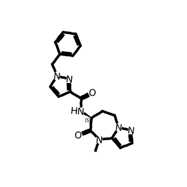 CN1C(=O)[C@@H](NC(=O)c2ccn(Cc3ccccc3)n2)CCn2nccc21